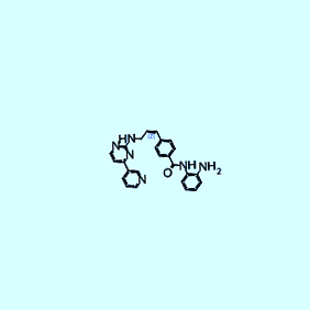 Nc1ccccc1NC(=O)c1ccc(/C=C\CNc2nccc(-c3cccnc3)n2)cc1